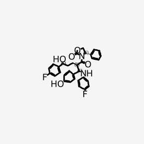 O=C1OC[C@H](c2ccccc2)N1C(=O)[C@H](CC[C@H](O)c1ccc(F)cc1)[C@H](Nc1ccc(F)cc1)c1ccc(O)cc1